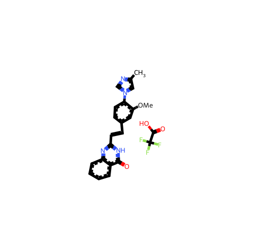 COc1cc(C=Cc2nc3ccccc3c(=O)[nH]2)ccc1-n1cnc(C)c1.O=C(O)C(F)(F)F